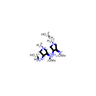 CON=C1CN(C)CC1N.CON=C1CN(C)CC1N.CS(=O)(=O)O.CS(=O)(=O)O